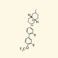 CC1CC[C@@H]2C[C@H](c3ccc(-c4ccc(OC(F)(F)F)c(F)c4)c(F)c3)CC[C@@H]2C1